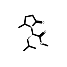 COC(=O)[C@H](CC(C)C)N1C(=O)CCC1C